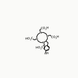 CCCc1ccc(CC2CN(CC(=O)O)CCN(CC(=O)O)CCN(CC(=O)O)CCN2CC(=O)O)cc1